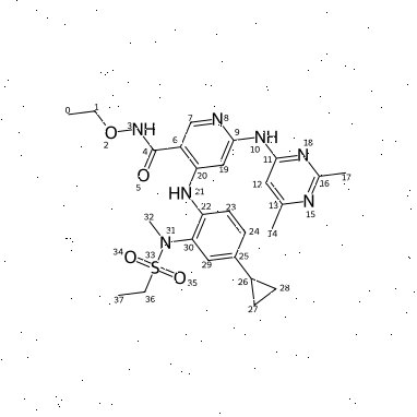 CCONC(=O)c1cnc(Nc2cc(C)nc(C)n2)cc1Nc1ccc(C2CC2)cc1N(C)S(=O)(=O)CC